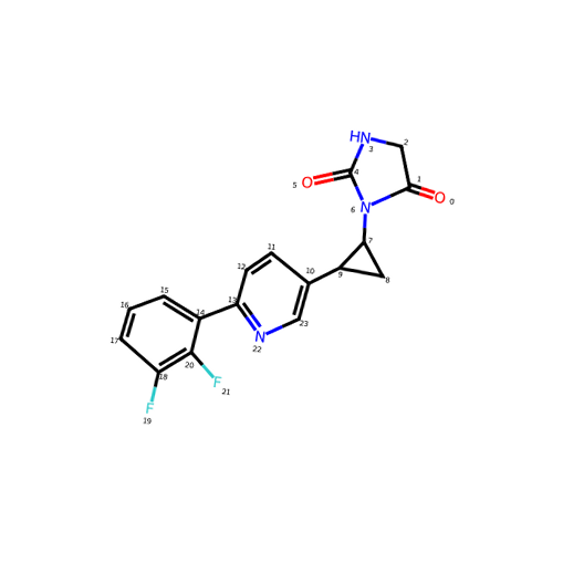 O=C1CNC(=O)N1C1CC1c1ccc(-c2cccc(F)c2F)nc1